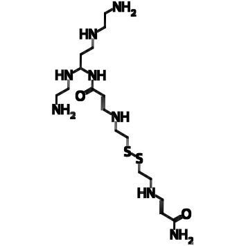 NCCNCCC(NCCN)NC(=O)C=CNCCSSCCNC=CC(N)=O